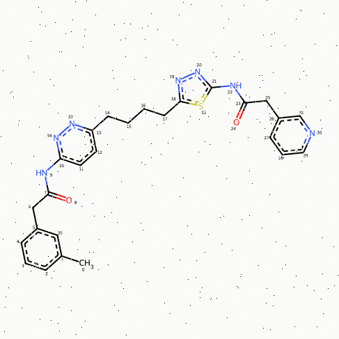 Cc1cccc(CC(=O)Nc2ccc(CCCCc3nnc(NC(=O)Cc4cccnc4)s3)nn2)c1